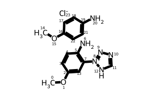 COc1ccc(N)c(-[n+]2nnc[nH]2)c1.COc1ccc(N)cc1.[Cl-]